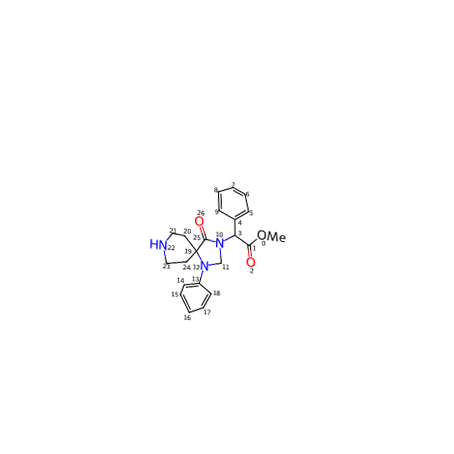 COC(=O)C(c1ccccc1)N1CN(c2ccccc2)C2(CCNCC2)C1=O